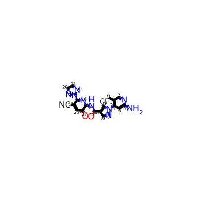 Cc1cnc(N)cc1-n1ncc(C(=O)NC2N=C(n3nccn3)C(C#N)=CC2=O)c1C(F)(F)F